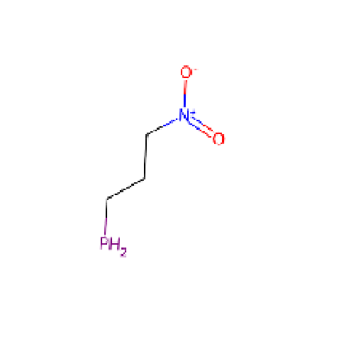 O=[N+]([O-])CCCP